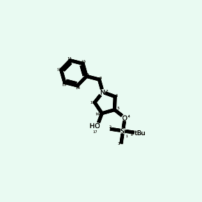 CC(C)(C)[Si](C)(C)OC1CN(Cc2ccccc2)CC1O